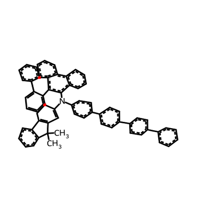 CC1(C)C2=C(CCC(N(c3ccc(-c4ccc(-c5ccc(-c6ccccc6)cc5)cc4)cc3)c3c(C4=C=C=CC=C4c4ccccc4)c4ccccc4c4ccccc34)=C2)c2ccccc21